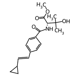 COC(=O)[C@@H](NC(=O)c1ccc(/C=C/C2CC2)cc1)C(C)(C)O